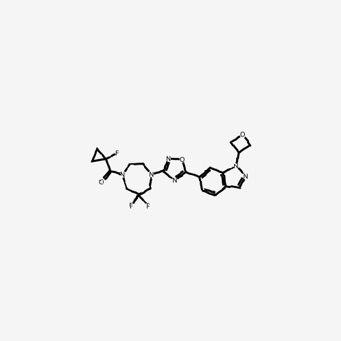 O=C(N1CCN(c2noc(-c3ccc4cnn(C5COC5)c4c3)n2)CC(F)(F)C1)C1(F)CC1